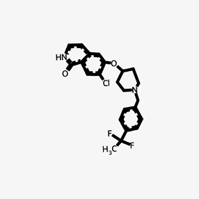 CC(F)(F)c1ccc(CN2CCC(Oc3cc4cc[nH]c(=O)c4cc3Cl)CC2)cc1